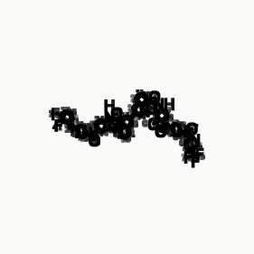 COc1cc(NS(=O)(=O)c2cccc3cc(-c4cc(S(=O)(=O)Nc5ccc(C(=O)N6CCN(Cc7cccc(F)c7F)CC6)cc5C)c5ncccc5c4)cnc23)ccc1C(=O)N1CCN(C(=O)c2ccc(C(F)(F)F)cn2)CC1